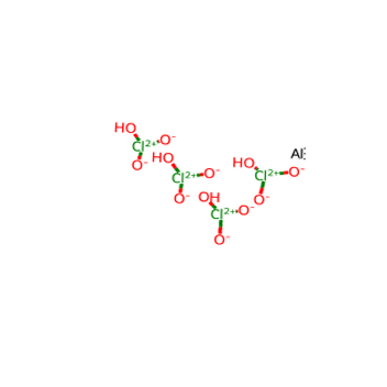 [Al].[O-][Cl+2]([O-])O.[O-][Cl+2]([O-])O.[O-][Cl+2]([O-])O.[O-][Cl+2]([O-])O